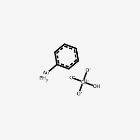 P.[Au][c]1ccccc1.[O-][Cl+3]([O-])([O-])O